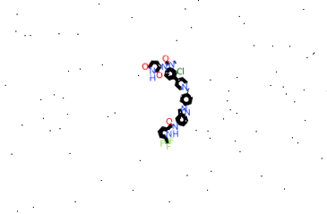 Cn1c(=O)n(C2CCC(=O)NC2=O)c2ccc(C3CCN(C[C@H]4CC[C@H](n5cc6cc(NC(=O)c7cccc(C(F)(F)F)n7)ccc6n5)CC4)CC3)c(Cl)c21